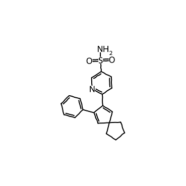 NS(=O)(=O)c1ccc(C2=CC3(C=C2c2ccccc2)CCCC3)nc1